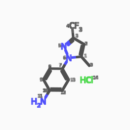 Cc1cc(C(F)(F)F)nn1-c1ccc(N)cc1.Cl